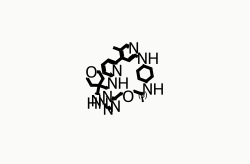 Cc1cnc(N[C@H]2CC[C@H](N[C@@H](C)COCc3nn[nH]n3)CC2)cc1-c1cccc(NCC2(C#N)CCOCC2)n1